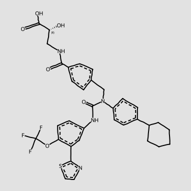 O=C(NC[C@@H](O)C(=O)O)c1ccc(CN(C(=O)Nc2ccc(OC(F)(F)F)c(-c3nccs3)c2)c2ccc(C3CCCCC3)cc2)cc1